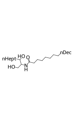 CCCCCCCCCCCCCCCCCC(=O)NC(CO)C(O)CCCCCCC